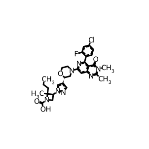 CCCC1(C)C(n2cc([C@H]3CN(c4cc5nc(C)n(C)c(=O)c5c(-c5ccc(Cl)cc5F)n4)CCO3)cn2)CN1C(=O)O